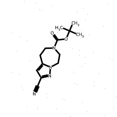 CC(C)(C)OC(=O)N1CCc2cc(C#N)nn2CC1